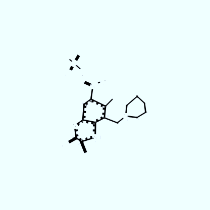 O=S(=O)(O)O.O=c1[nH]c2cc([N+](=O)O)c(Cl)c(CN3CCCCC3)c2[nH]c1=O